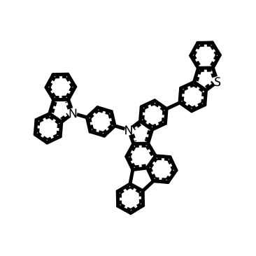 c1ccc2c(c1)-c1cccc3c1c-2cc1c3c2cc(-c3ccc4sc5ccccc5c4c3)ccc2n1-c1ccc(-n2c3ccccc3c3ccccc32)cc1